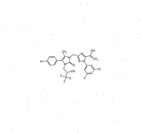 Cc1c(-c2ccc(Cl)cc2)n(CC(O)C(F)(F)F)c(=O)n1Cc1nc([C@H](C)O)n(-c2cc(F)cc(Cl)c2)n1